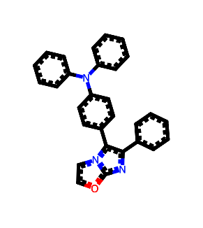 c1ccc(-c2nc3occn3c2-c2ccc(N(c3ccccc3)c3ccccc3)cc2)cc1